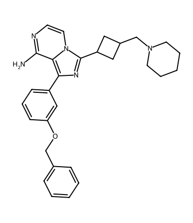 Nc1nccn2c(C3CC(CN4CCCCC4)C3)nc(-c3cccc(OCc4ccccc4)c3)c12